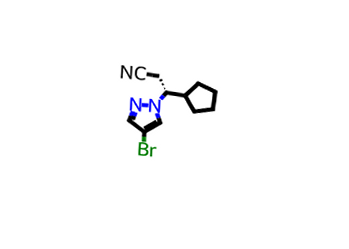 N#CC[C@H](C1CCCC1)n1cc(Br)cn1